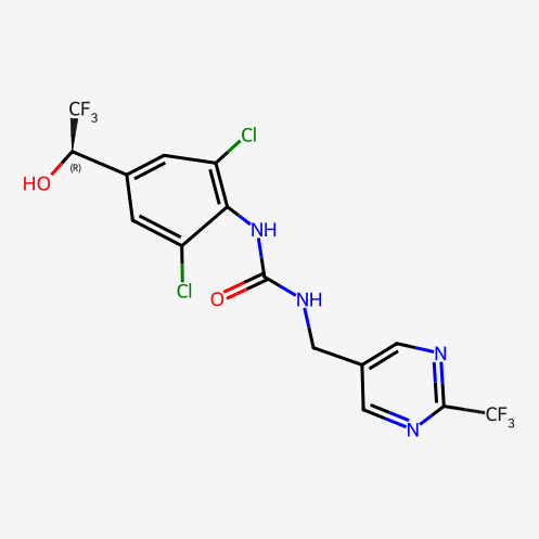 O=C(NCc1cnc(C(F)(F)F)nc1)Nc1c(Cl)cc([C@@H](O)C(F)(F)F)cc1Cl